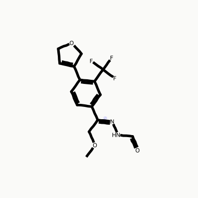 COC/C(=N\NC=O)c1ccc(C2=CCOC2)c(C(F)(F)F)c1